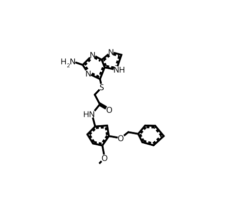 COc1ccc(NC(=O)CSc2nc(N)nc3nc[nH]c23)cc1OCc1ccccc1